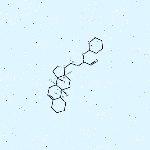 C[C@H](CC(C=O)OC1CCCCO1)[C@H]1CC[C@H]2[C@@H]3CC=C4CCCC[C@]4(C)[C@H]3CC[C@]12C